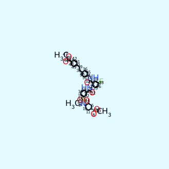 CCN([C@H]1CC[C@H](C(=O)OC)CC1)S(=O)(=O)c1cccc(C(=O)Nc2ccc(F)cc2C(=O)Nc2ccc(CCc3ccc(C(=O)OC)cc3)cc2)c1